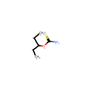 CCC(CC)OC(N)=S